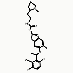 CC(Oc1cc2sc(NC(=O)NCCC3CCCN3C)nc2cc1F)c1c(Cl)ccc(F)c1Cl